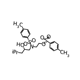 Cc1ccc(S(=O)(=O)OCCN(CC(O)CC(C)C)S(=O)(=O)c2ccc(C)cc2)cc1